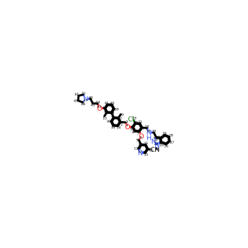 Cc1c(COc2cc(OCc3cncc(C#N)c3)c(CNCc3nn(C)c4ccccc34)cc2Cl)cccc1-c1cccc(OCCCN2CCCC2)c1C